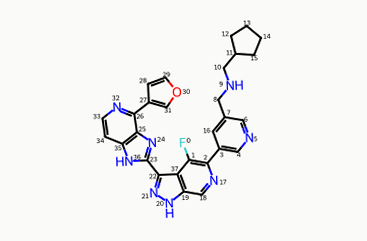 Fc1c(-c2cncc(CNCC3CCCC3)c2)ncc2[nH]nc(-c3nc4c(-c5ccoc5)nccc4[nH]3)c12